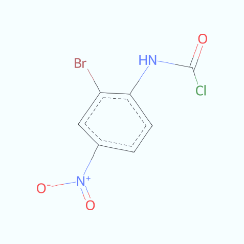 O=C(Cl)Nc1ccc([N+](=O)[O-])cc1Br